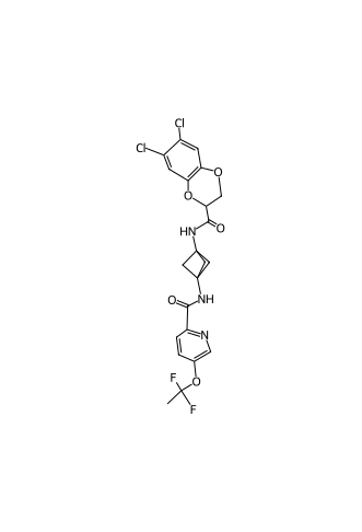 CC(F)(F)Oc1ccc(C(=O)NC23CC(NC(=O)C4COc5cc(Cl)c(Cl)cc5O4)(C2)C3)nc1